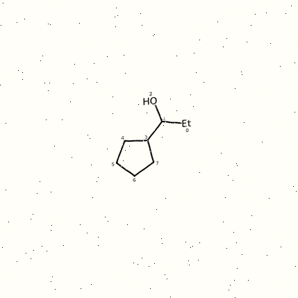 CC[C](O)C1CCCC1